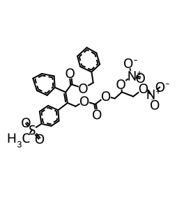 CS(=O)(=O)c1ccc(/C(COC(=O)OCC(CO[N+](=O)[O-])O[N+](=O)[O-])=C(/C(=O)OCc2ccccc2)c2ccccc2)cc1